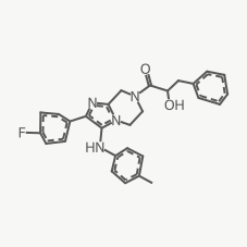 Cc1ccc(Nc2c(-c3ccc(F)cc3)nc3n2CCN(C(=O)C(O)Cc2ccccc2)C3)cc1